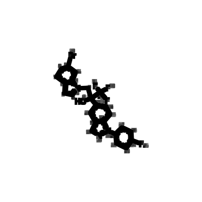 OC(Cn1ccc2ccc(Br)cc21)(c1ccc2c(cnn2-c2ccc(F)cc2)c1)C(F)(F)F